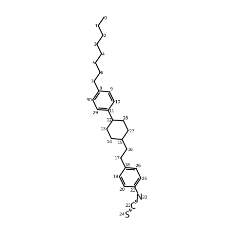 CCCCCCCCc1ccc(C2CCC(CCc3ccc(N=C=S)cc3)CC2)cc1